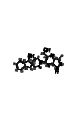 Cc1n[nH]c2nc(N3CCC4(CC3)Cc3ccccc3[C@H]4N)c(CO)nc12